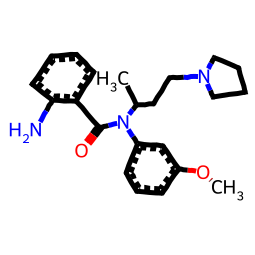 COc1cccc(N(C(=O)c2ccccc2N)C(C)CCN2CCCC2)c1